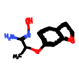 CC(Oc1ccc2ccoc2c1)C(N)=NO